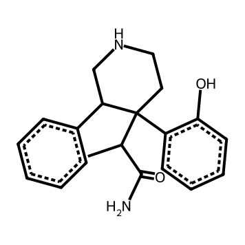 CC(C(N)=O)C1(c2ccccc2O)CCNCC1c1ccccc1